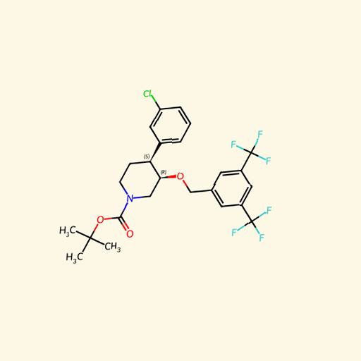 CC(C)(C)OC(=O)N1CC[C@@H](c2cccc(Cl)c2)[C@@H](OCc2cc(C(F)(F)F)cc(C(F)(F)F)c2)C1